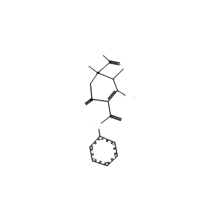 CC1C(O)=C(C(=S)Nc2ccccc2)C(=O)CC1(C)C(=O)O